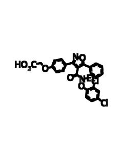 CCN(Oc1ccc(Cl)cc1Cl)C(=O)c1c(-c2ccc(OCC(=O)O)cc2)noc1-c1ccccc1